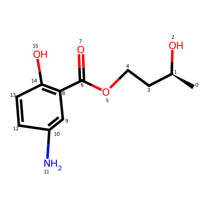 C[C@H](O)CCOC(=O)c1cc(N)ccc1O